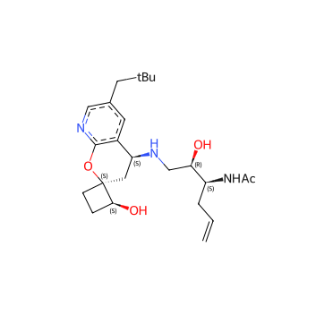 C=CC[C@H](NC(C)=O)[C@H](O)CN[C@H]1C[C@]2(CC[C@@H]2O)Oc2ncc(CC(C)(C)C)cc21